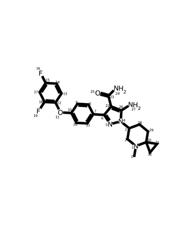 CN1CC(n2nc(-c3ccc(Oc4ccc(F)cc4F)cc3)c(C(N)=O)c2N)CCC12CC2